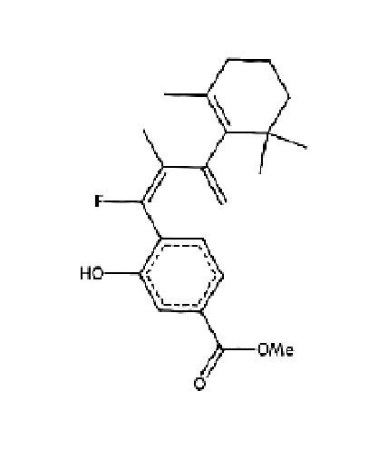 C=C(C(C)=C(F)c1ccc(C(=O)OC)cc1O)C1=C(C)CCCC1(C)C